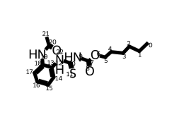 CCCCCCOC(=O)NC(=S)Nc1ccccc1NC(C)=O